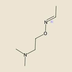 C/C=N/OCCN(C)C